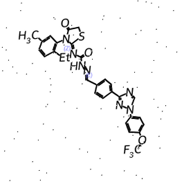 CCc1ccc(C)cc1N1C(=O)CS/C1=N\C(=O)N/N=C/c1ccc(-c2ncn(-c3ccc(OC(F)(F)F)cc3)n2)cc1